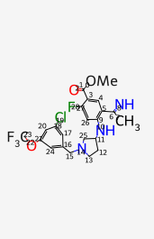 COC(=O)c1cc(C(C)=N)c(NC2CCN(Cc3cc(Cl)cc(OC(F)(F)F)c3)C2)cc1F